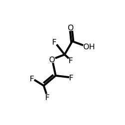 O=C(O)C(F)(F)OC(F)=C(F)F